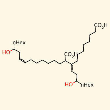 CCCCCCC(O)C/C=C(\CCCCCCCC(=O)O)C(CCCCCC/C=C\C[C@H](O)CCCCCC)C(=O)O